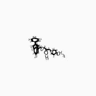 CC1CCN(C[C@H](O)COCC23CC4CC(C2)CC(c2ccccc2)(C4)C3)CC1